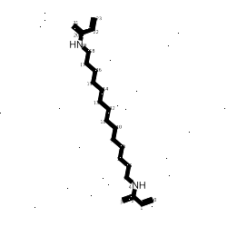 C=CC(=C)NCCCCCCCCCCCCCCNC(=C)C=C